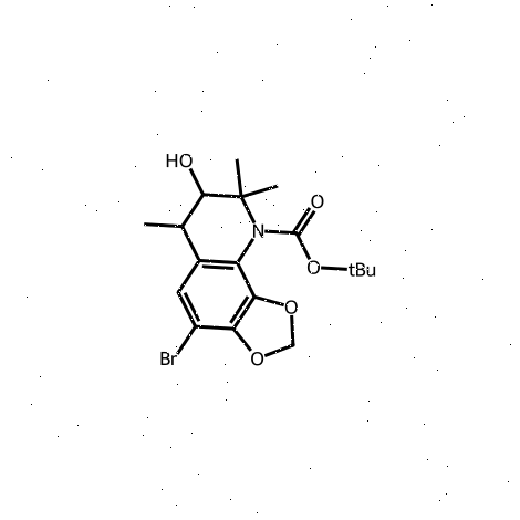 CC1c2cc(Br)c3c(c2N(C(=O)OC(C)(C)C)C(C)(C)C1O)OCO3